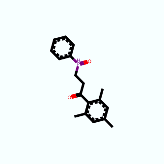 Cc1cc(C)c(C(=O)CC[PH](=O)c2ccccc2)c(C)c1